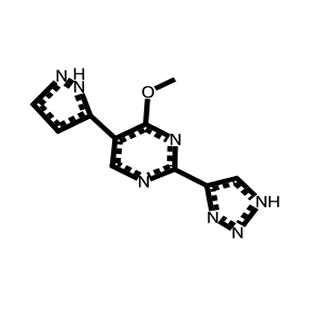 COc1nc(-c2c[nH]nn2)ncc1-c1ccn[nH]1